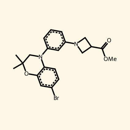 COC(=O)C1CN(c2cccc(N3CC(C)(C)Oc4cc(Br)ccc43)c2)C1